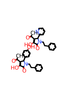 CC(=O)C1=C(O)C(=O)N(CCc2ccccc2)C1c1ccc(O)cc1.CC(=O)C1=C(O)C(=O)N(CCc2ccccc2)C1c1ccccn1